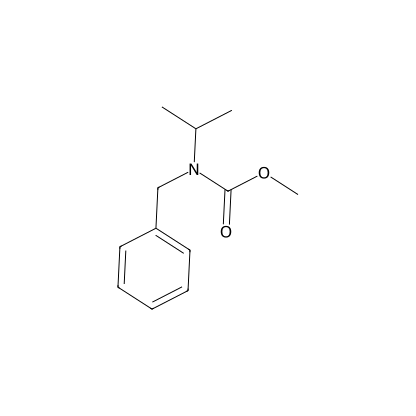 COC(=O)N(Cc1ccccc1)C(C)C